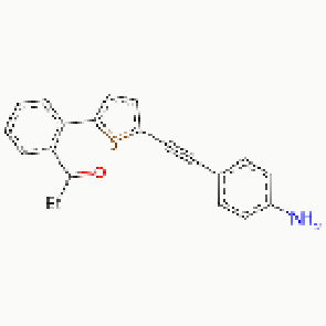 CCC(=O)c1ccccc1-c1ccc(C#Cc2ccc(N)cc2)s1